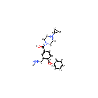 CNCc1cc(C(=O)N2CCN(C3CC3)CC2)ccc1Oc1ccccc1